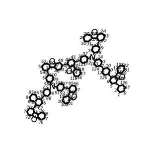 c1ccc(-c2ccc(-c3ccc(-c4ccc(N(c5ccc(-c6cccc7oc8ccccc8c67)cc5)c5ccc(-c6ccc(-c7ccc8c(c7)oc7cccc(-c9ccc(N(c%10ccc(-c%11ccc(-c%12cccc%13oc%14ccccc%14c%12%13)c%12ccccc%11%12)cc%10)c%10ccc(-c%11cccc%12oc%13ccccc%13c%11%12)cc%10)cc9)c78)c7oc8ccccc8c67)cc5)cc4)cc3)c3c2oc2ccccc23)cc1